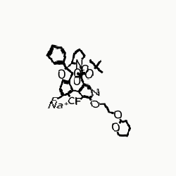 CC(C)(C)OC(=O)N1CCCC1[C@@]1(c2ccccc2)Cc2c(cc(F)c(Cl)c2-c2c(C(=O)[O-])cnc(OCCOC3CCCCO3)c2F)O1.[Na+]